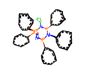 ClN1P(c2ccccc2)N(c2ccccc2)P(c2ccccc2)N=P1(c1ccccc1)c1ccccc1